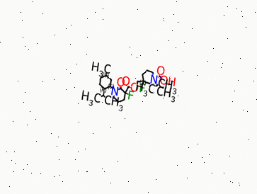 CC(C)[C@H]1CC[C@H](C)C[C@@H]1N1CCCC(F)(C(=O)OC[C@]2(F)CCC[N+](C(=O)O)(C(C)(C)C)C2)C1=O